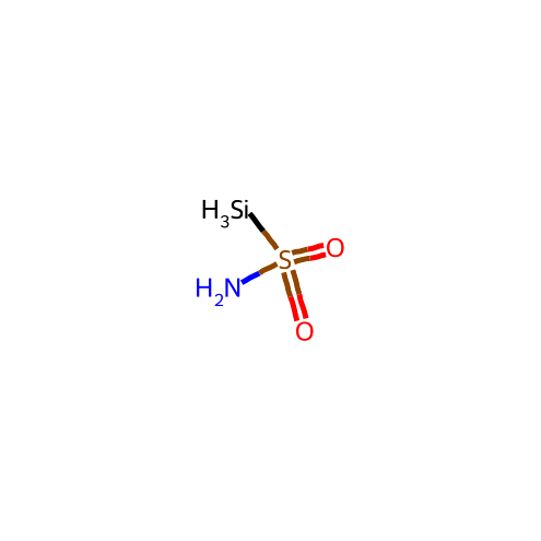 NS(=O)(=O)[SiH3]